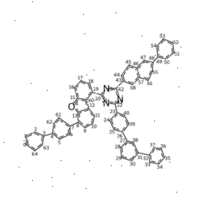 c1ccc(-c2ccc(-c3cccc4c3oc3cccc(-c5nc(-c6ccc(-c7cccc(-c8ccccc8)c7)cc6)nc(-c6ccc7cc(-c8ccccc8)ccc7c6)n5)c34)cc2)cc1